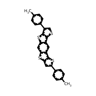 Cc1ccc(-c2cc3sc4cc5sc6c(-c7ccc(C)cc7)csc6c5cc4c3s2)cc1